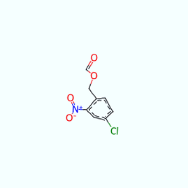 O=COCc1ccc(Cl)cc1[N+](=O)[O-]